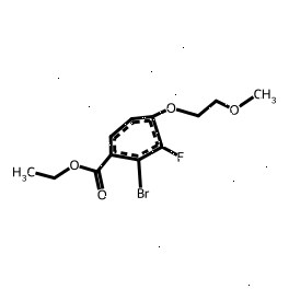 CCOC(=O)c1ccc(OCCOC)c(F)c1Br